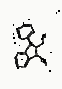 Cc1c(CCl)n(-c2ccccc2)c2ccccc12